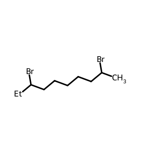 CCC(Br)CCCCCC(C)Br